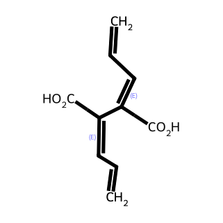 C=C/C=C(C(=O)O)\C(=C/C=C)C(=O)O